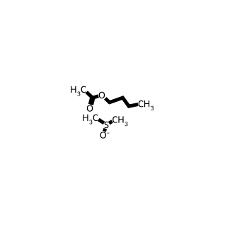 CCCCOC(C)=O.C[S+](C)[O-]